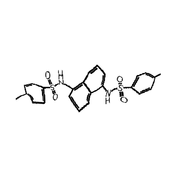 Cc1ccc(S(=O)(=O)Nc2cccc3c(NS(=O)(=O)c4ccc(C)cc4)cccc23)cc1